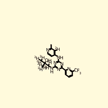 [2H]c1c(Nc2nc(NC([2H])([2H])C(O)(C([2H])([2H])[2H])C([2H])([2H])[2H])nc(-c3cccc(C(F)(F)F)n3)n2)ccnc1C